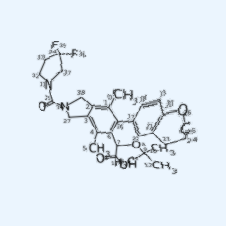 Cc1c2c(c(C)c(C(OC(C)(C)C)C(=O)O)c1-c1ccc3c(c1)CCCO3)CN(C(=O)N1CCC(F)(F)C1)C2